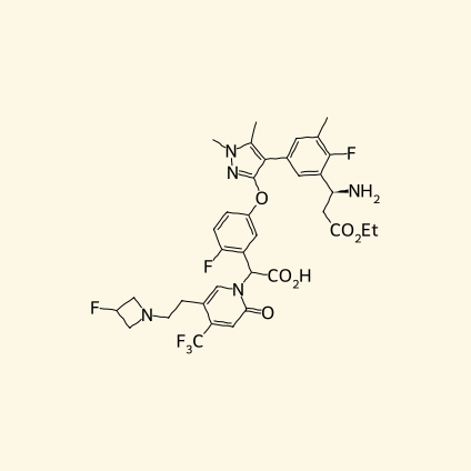 CCOC(=O)C[C@H](N)c1cc(-c2c(Oc3ccc(F)c(C(C(=O)O)n4cc(CCN5CC(F)C5)c(C(F)(F)F)cc4=O)c3)nn(C)c2C)cc(C)c1F